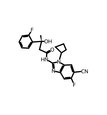 C[C@@](O)(CC(=O)Nc1nc2cc(F)c(C#N)cc2n1C1CCC1)c1ccccc1F